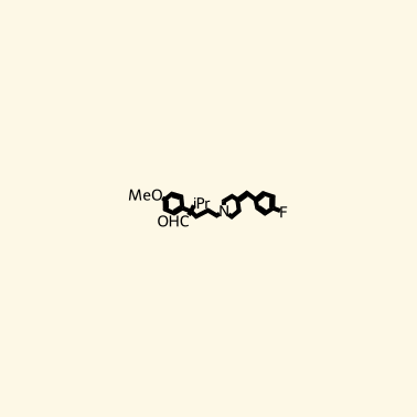 COc1ccc(C(C=O)(CCCN2CCC(=Cc3ccc(F)cc3)CC2)C(C)C)cc1